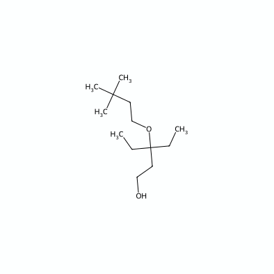 CCC(CC)(CCO)OCCC(C)(C)C